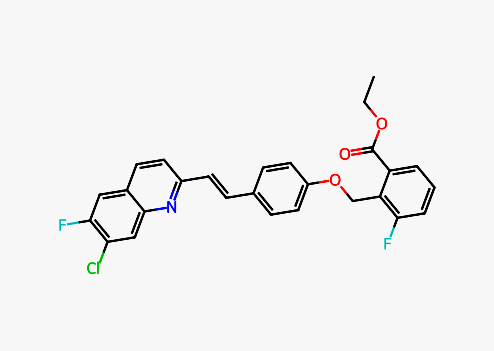 CCOC(=O)c1cccc(F)c1COc1ccc(C=Cc2ccc3cc(F)c(Cl)cc3n2)cc1